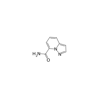 NC(=O)c1cccc2ccnn12